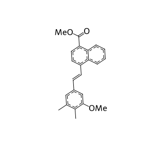 COC(=O)c1ccc(/C=C/c2cc(C)c(C)c(OC)c2)c2ccccc12